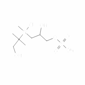 CC(C)(CO)[N+](C)(Cl)CC(O)COS(=O)(=O)O